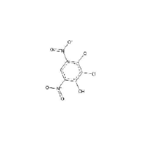 O=[N+]([O-])c1cc([N+](=O)[O-])c(Cl)c(Cl)c1O